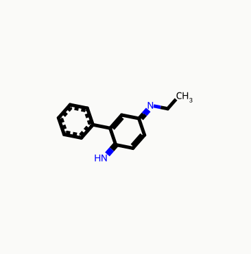 CCN=C1C=CC(=N)C(c2ccccc2)=C1